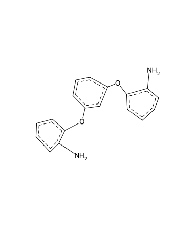 Nc1ccccc1Oc1cccc(Oc2ccccc2N)c1